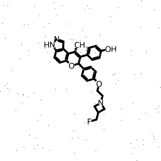 CC1=C(c2ccc(O)cc2)C(c2ccc(OCCN3CC(CF)C3)cc2)Oc2ccc3[nH]ncc3c21